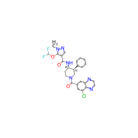 Cn1ncc(C(=O)N[C@@H]2CCN(C(=O)c3cc(Cl)c4nccnc4c3)C[C@@H]2c2ccccc2)c1OC(F)F